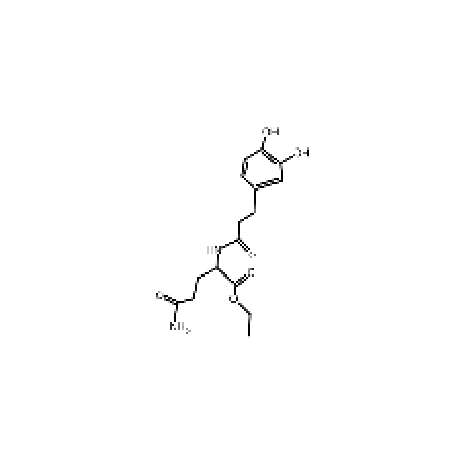 CCOC(=O)C(CCC(N)=O)NC(=O)CCc1ccc(O)c(O)c1